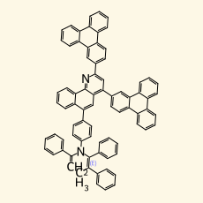 C=C(c1ccccc1)N(/C(=C(\C)c1ccccc1)c1ccccc1)c1ccc(-c2cc3c(-c4ccc5c6ccccc6c6ccccc6c5c4)cc(-c4ccc5c6ccccc6c6ccccc6c5c4)nc3c3ccccc23)cc1